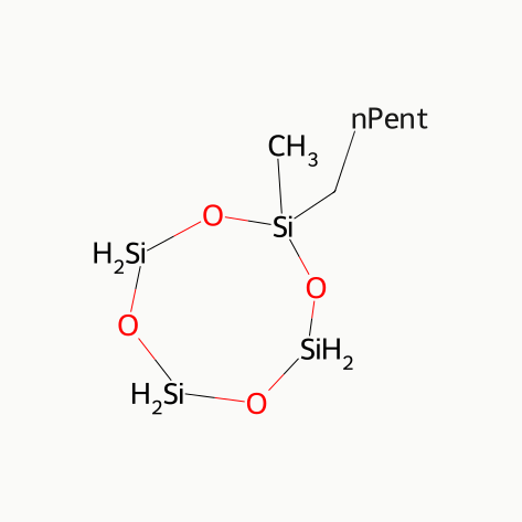 CCCCCC[Si]1(C)O[SiH2]O[SiH2]O[SiH2]O1